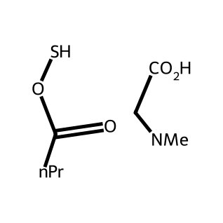 CCCC(=O)OS.CNCC(=O)O